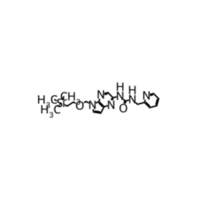 C[Si](C)(C)CCOCn1ccc2nc(NC(=O)NCc3ccccn3)cnc21